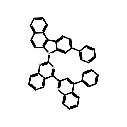 c1ccc(-c2ccc3c4c5ccccc5ccc4n(-c4nc(-c5cc(-c6ccccc6)c6ccccc6n5)c5ccccc5n4)c3c2)cc1